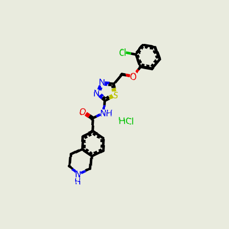 Cl.O=C(Nc1nnc(COc2ccccc2Cl)s1)c1ccc2c(c1)CCNC2